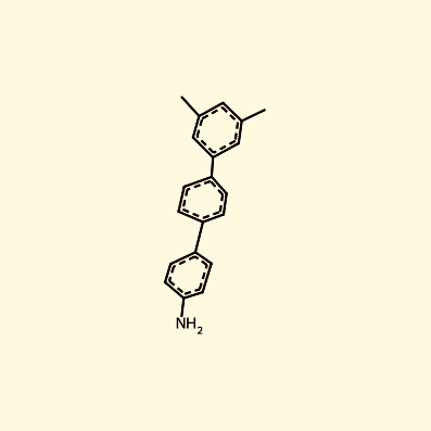 Cc1cc(C)cc(-c2ccc(-c3ccc(N)cc3)cc2)c1